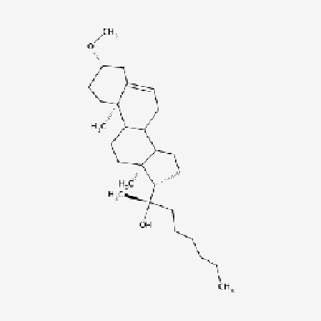 CCCCCC[C@](C)(O)[C@H]1CCC2C3CC=C4C[C@@H](OC)CC[C@]4(C)C3CC[C@@]21C